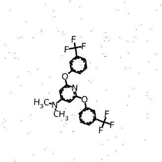 CN(C)c1cc(Oc2cccc(C(F)(F)F)c2)nc(Oc2cccc(C(F)(F)F)c2)c1